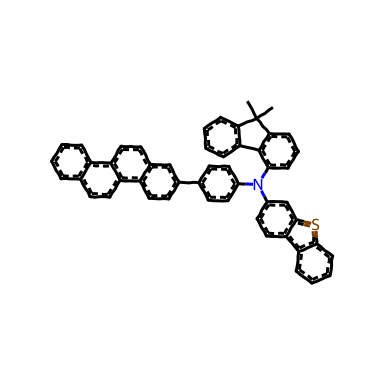 CC1(C)c2ccccc2-c2c(N(c3ccc(-c4ccc5c(ccc6c7ccccc7ccc56)c4)cc3)c3ccc4c(c3)sc3ccccc34)cccc21